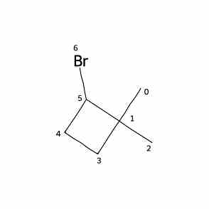 CC1(C)CCC1Br